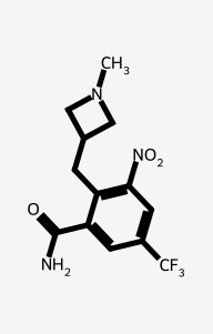 CN1CC(Cc2c(C(N)=O)cc(C(F)(F)F)cc2[N+](=O)[O-])C1